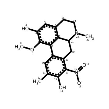 COc1c(O)cc2c3c1-c1cc(C)c(O)c([N+](=O)[O-])c1CC3N(C)CC2